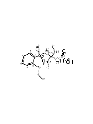 CCSc1ccccc1S(=O)(=O)OC(CC)(CC)O[PH](=O)O